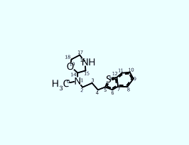 CN(CCCc1cc2ccccc2s1)C1CNCCO1